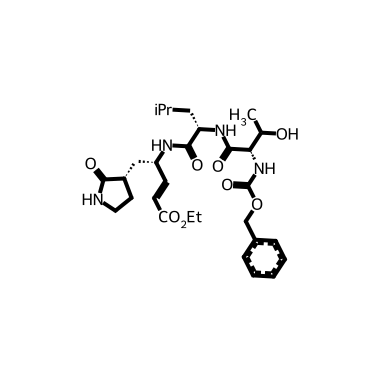 CCOC(=O)/C=C/[C@H](C[C@@H]1CCNC1=O)NC(=O)[C@H](CC(C)C)NC(=O)[C@@H](NC(=O)OCc1ccccc1)C(C)O